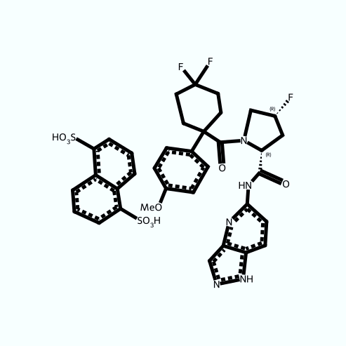 COc1ccc(C2(C(=O)N3C[C@H](F)C[C@@H]3C(=O)Nc3ccc4[nH]ncc4n3)CCC(F)(F)CC2)cc1.O=S(=O)(O)c1cccc2c(S(=O)(=O)O)cccc12